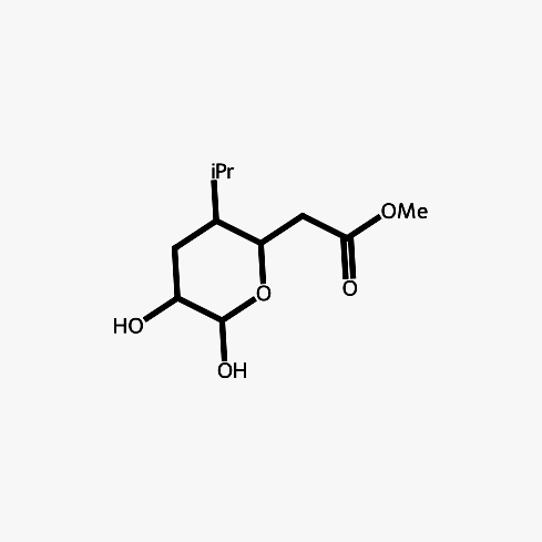 COC(=O)CC1OC(O)C(O)CC1C(C)C